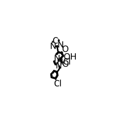 Cl.O=c1c(-c2ncccn2)cn2ccn(Cc3cccc(Cl)c3)c(=O)c2c1O